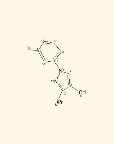 Cc1cccc(-n2cc(O)c(C(C)C)n2)c1